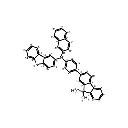 CC1(C)c2ccccc2-c2ccc(-c3ccc(N(c4ccc5ccccc5c4)c4ccc5sc6ccccc6c5c4)cc3)cc21